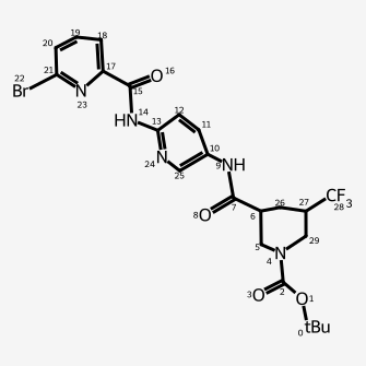 CC(C)(C)OC(=O)N1CC(C(=O)Nc2ccc(NC(=O)c3cccc(Br)n3)nc2)CC(C(F)(F)F)C1